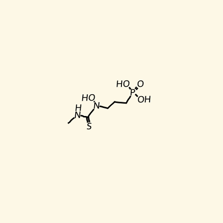 CNC(=S)N(O)CCCP(=O)(O)O